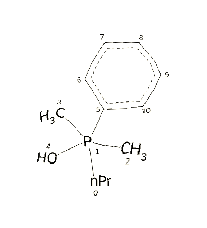 CCCP(C)(C)(O)c1ccccc1